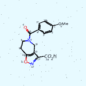 COc1ccc(C(=O)N2CCc3onc(C(=O)O)c3C2)cc1